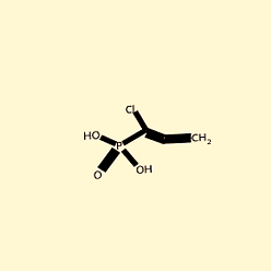 C=C=C(Cl)P(=O)(O)O